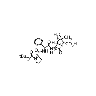 CC(C)(C)OC(=O)N1CCC[C@H]1C(=O)NC(C(=O)N[C@@H]1C(=O)N2[C@@H]1SC(C)(C)[C@@H]2C(=O)O)c1ccccc1